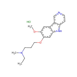 CCN(C)CCCOc1cc2[nH]c3ccncc3c2cc1OC.Cl